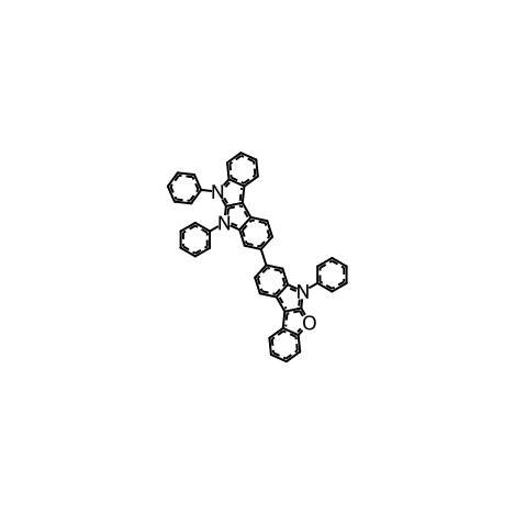 c1ccc(-n2c3cc(-c4ccc5c6c7ccccc7n(-c7ccccc7)c6n(-c6ccccc6)c5c4)ccc3c3c4ccccc4oc32)cc1